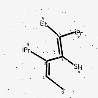 C/C=C(\C(S)=C(/CC)C(C)C)C(C)C